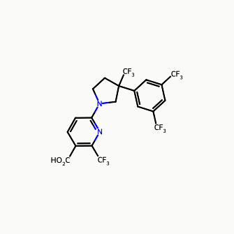 O=C(O)c1ccc(N2CCC(c3cc(C(F)(F)F)cc(C(F)(F)F)c3)(C(F)(F)F)C2)nc1C(F)(F)F